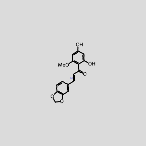 COc1cc(O)cc(O)c1C(=O)/C=C/c1ccc2c(c1)OCO2